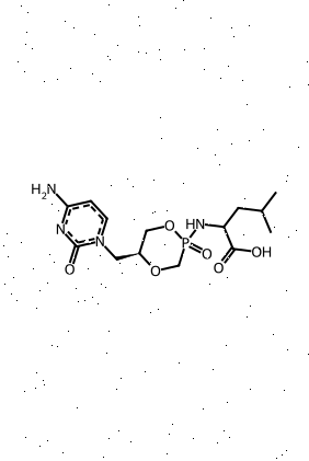 CC(C)CC(NP1(=O)CO[C@@H](Cn2ccc(N)nc2=O)CO1)C(=O)O